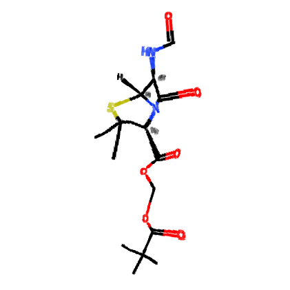 CC(C)(C)C(=O)OCOC(=O)[C@@H]1N2C(=O)[C@H](NC=O)[C@H]2SC1(C)C